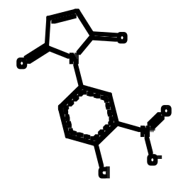 O=C1C=CC(=O)N1c1ccc(Cl)c([N+](=O)[O-])c1